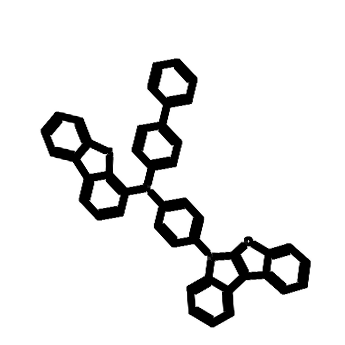 c1ccc(-c2ccc(N(c3ccc(-n4c5ccccc5c5c6ccccc6oc54)cc3)c3cccc4c3sc3ccccc34)cc2)cc1